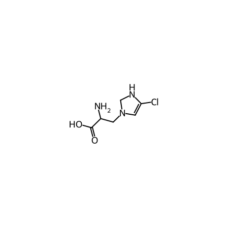 NC(CN1C=C(Cl)NC1)C(=O)O